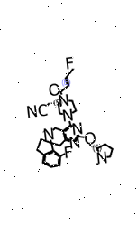 CN1CCC[C@H]1COc1nc2c(c(N3CCN(C(=O)/C=C/CF)[C@@H](CC#N)C3)n1)CN(C)C1(CCc3cccc(F)c31)C2